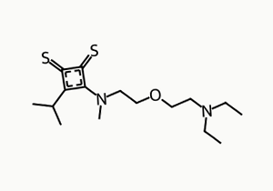 CCN(CC)CCOCCN(C)c1c(C(C)C)c(=S)c1=S